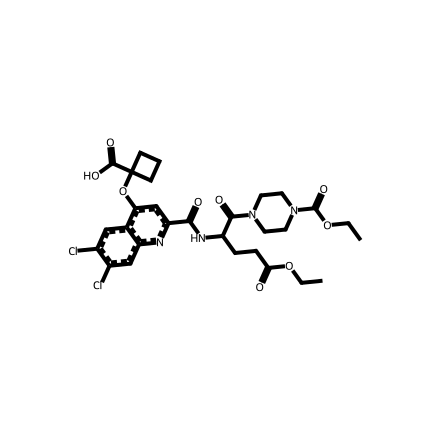 CCOC(=O)CCC(NC(=O)c1cc(OC2(C(=O)O)CCC2)c2cc(Cl)c(Cl)cc2n1)C(=O)N1CCN(C(=O)OCC)CC1